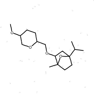 COC1CCC(COC2CC3(C(C)C)CCC2(C)O3)OC1